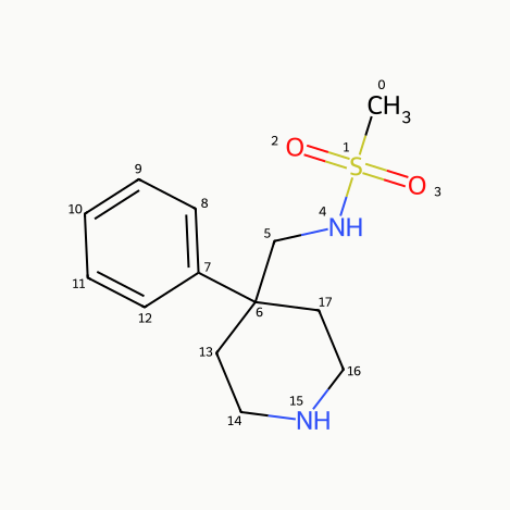 CS(=O)(=O)NCC1(c2ccccc2)CCNCC1